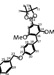 COc1cc(B2OC(C)(C)C(C)(C)O2)cc(OC)c1Cc1ccc(OCc2ccccc2)cc1